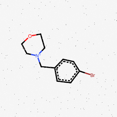 Brc1ccc(C[N+]2CCOCC2)cc1